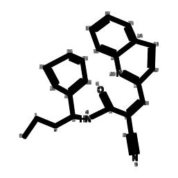 CCCC(NC(=O)C(C#N)=Cc1ccc2ccccc2n1)c1ccccc1